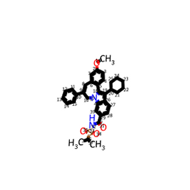 COc1ccc2c(c1)C=C(c1ccccc1)Cn1c-2c(C2CCCCC2)c2ccc(C(=O)NS(=O)(=O)C(C)C)cc21